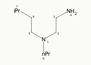 CCCN(CCN)CCC(C)C